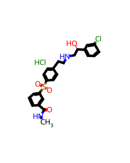 CNC(=O)c1cccc(S(=O)(=O)c2ccc(CCNC[C@H](O)c3cccc(Cl)c3)cc2)c1.Cl